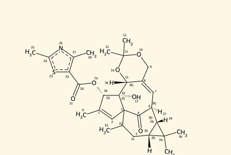 CC1=CC23C(=O)[C@@H](C=C4COC(C)(C)O[C@H]4[C@]2(O)[C@H]1OC(=O)c1sc(C)nc1C)[C@H]1[C@@H](CC3C)C1(C)C